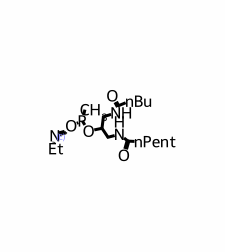 CCCCCC(=O)NCC(CNC(=O)CCCC)OP(C)O/C=N/CC